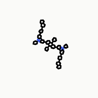 c1ccc(-c2c3ccc(-c4ccc5c(c4)c4cc(-c6ccc(-c7ccc8ccccc8c7)cc6)ccc4n5-c4ccccc4)cc3c(-c3ccccc3)c3ccc(-c4ccc5c(c4)c4cc(-c6ccc(-c7ccc8ccccc8c7)cc6)ccc4n5-c4ccccc4)cc23)cc1